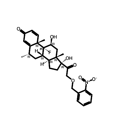 C[C@H]1C[C@H]2[C@@H]3CC[C@](O)(C(=O)COCc4ccccc4[N+](=O)[O-])[C@@]3(C)C[C@H](O)[C@]2(F)[C@@]2(C)C=CC(=O)C=C12